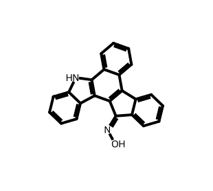 O/N=C1\c2ccccc2-c2c1c1c3ccccc3[nH]c1c1ccccc21